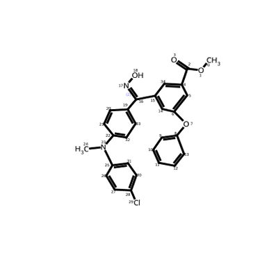 COC(=O)c1cc(Oc2ccccc2)cc(/C(=N\O)c2ccc(N(C)c3ccc(Cl)cc3)cc2)c1